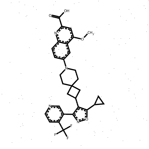 COc1cc(C(=O)O)nc2ccc(N3CCC4(CC3)CC(c3c(-c5cnccc5C(F)(F)F)noc3C3CC3)C4)cc12